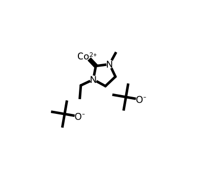 CC(C)(C)[O-].CC(C)(C)[O-].CCN1CCN(C)[C]1=[Co+2]